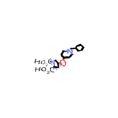 O=C(O)[C@@H]1C[C@@H](OC2=CCN(Cc3ccccc3)CC2)CN1C(=O)O